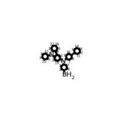 Bc1ccc(N(c2ccc(-c3ccccc3)cc2)c2ccc3c(c2)c2ccccc2n3-c2ccccc2)cc1